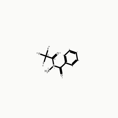 BN(C(=O)c1ccccc1)C(=O)C(F)(F)F